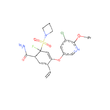 C=CC1=CC(C(N)=O)C(F)(S(=O)(=O)N2CCC2)C=C1Oc1cnc(OC(C)C)c(Cl)c1